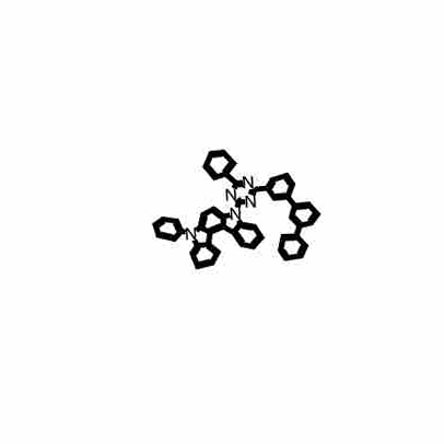 c1ccc(-c2cccc(-c3cccc(-c4nc(-c5ccccc5)nc(-n5c6ccccc6c6c7c8ccccc8n(-c8ccccc8)c7ccc65)n4)c3)c2)cc1